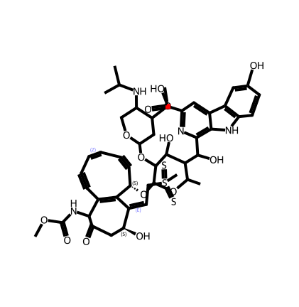 COC(=O)NC1C(=O)C[C@H](O)/C(=C/CS(C)(=S)=S)C2=C1C#C/C=C\C#C[C@@H]2OC1OC(C)C(C(O)c2nc(C(=O)O)cc3c2[nH]c2ccc(O)cc23)C(O)C1OC1CC(OC)C(NC(C)C)CO1